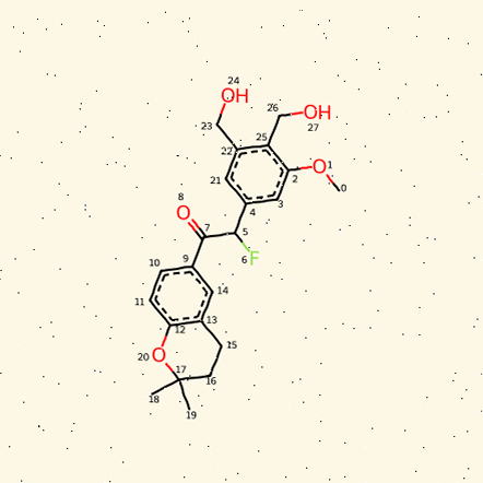 COc1cc(C(F)C(=O)c2ccc3c(c2)CCC(C)(C)O3)cc(CO)c1CO